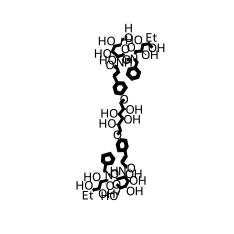 CC[C@@H](O)[C@H](O)[C@H](O)C(=O)N(Cc1ccccc1)O[C@H]1O[C@H](CO)[C@@H](O)[C@H](O)[C@@]1(O)NC(=O)/C=C/c1ccc(OC[C@@H](O)[C@H](O)[C@H](O)[C@@H](O)COc2ccc(/C=C/C(=O)N[C@@]3(O)[C@@H](ON(Cc4ccccc4)C(=O)[C@@H](O)[C@@H](O)[C@H](O)CC)O[C@H](CO)[C@@H](O)[C@@H]3O)cc2)cc1